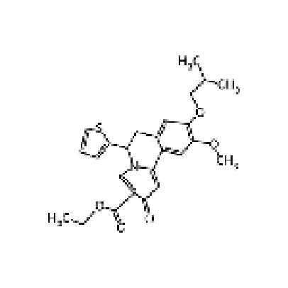 CCOC(=O)c1cn2c(cc1=O)-c1cc(OC)c(OCC(C)C)cc1CC2c1cccs1